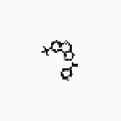 CC(C)(C)c1ccc2c(c1)C1=NN(C(=O)c3cccnc3)CC1CO2